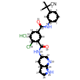 CC(C)(C#N)c1cccc(NC(=O)c2ccc(Cl)c(C(=O)Nc3cnc4[nH]ccc4c3)c2)c1.Cl